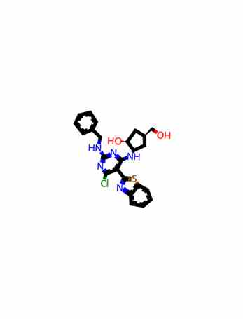 OC[C@@H]1C[C@@H](O)[C@H](Nc2nc(NCc3ccccc3)nc(Cl)c2-c2nc3ccccc3s2)C1